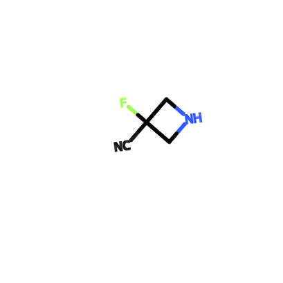 N#CC1(F)CNC1